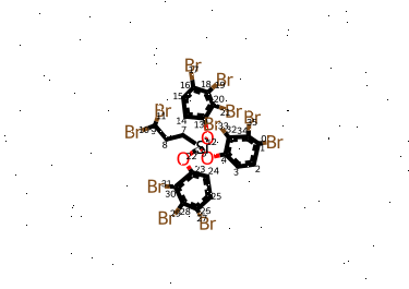 Brc1ccc(O[Si](CCC(Br)Br)(Oc2ccc(Br)c(Br)c2Br)Oc2ccc(Br)c(Br)c2Br)c(Br)c1Br